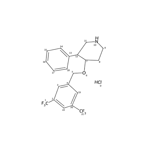 Cl.FC(F)(F)c1cc(COC2CCNCC2c2ccccc2)cc(C(F)(F)F)c1